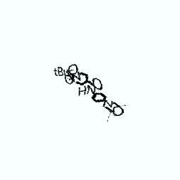 C[C@@H]1CN(c2ccc(NC(=O)C3CCN(S(=O)(=O)C(C)(C)C)CC3)cc2)C[C@H](C)O1